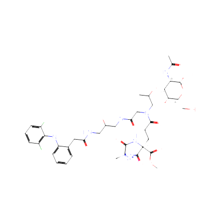 COC(=O)[C@@](CCC(=O)N(CC(C)O[C@H]1[C@H](O)[C@@H](CO)O[C@H](O)[C@@H]1NC(C)=O)[C@@H](C)C(=O)NCC(O)CNC(=O)Cc1ccccc1Nc1c(Cl)cccc1Cl)(NC(=O)[C@H](C)N)C(N)=O